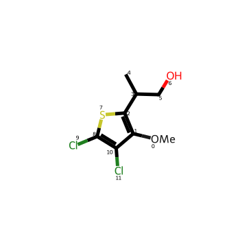 COc1c(C(C)CO)sc(Cl)c1Cl